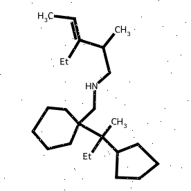 C/C=C(\CC)C(C)CNCC1(C(C)(CC)C2CCCC2)CCCCC1